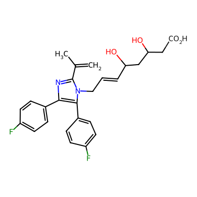 C=C(C)c1nc(-c2ccc(F)cc2)c(-c2ccc(F)cc2)n1CC=CC(O)CC(O)CC(=O)O